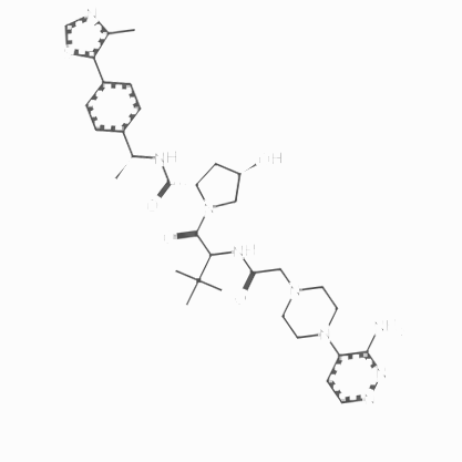 Cc1ncsc1-c1ccc([C@H](C)NC(=O)[C@@H]2C[C@@H](O)CN2C(=O)C(NC(=O)CN2CCN(c3ccnnc3N)CC2)C(C)(C)C)cc1